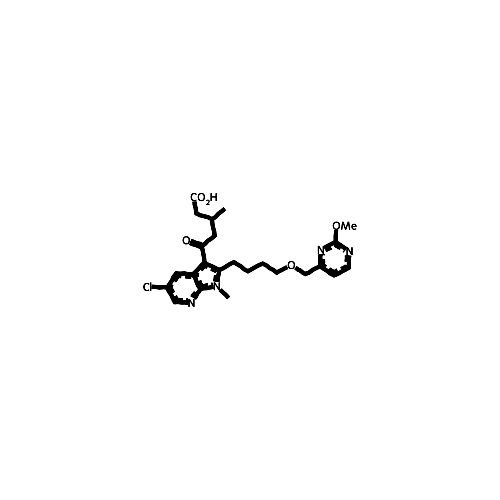 COc1nccc(COCCCCc2c(C(=O)CC(C)CC(=O)O)c3cc(Cl)cnc3n2C)n1